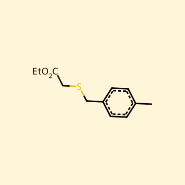 CCOC(=O)CSCc1ccc(C)cc1